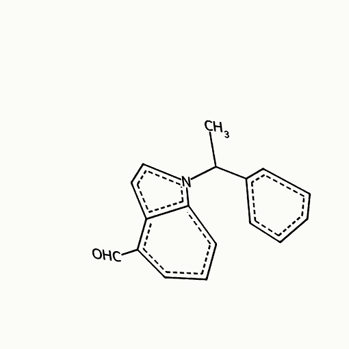 CC(c1ccccc1)n1ccc2c(C=O)cccc21